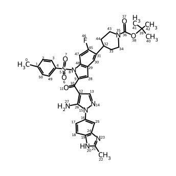 Cc1ccc(S(=O)(=O)n2c(C(=O)c3cnn(-c4ccc5[nH]c(C)nc5c4)c3N)cc3cc(C4CCN(C(=O)OC(C)(C)C)CC4)c(F)cc32)cc1